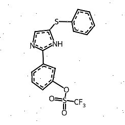 O=S(=O)(Oc1cccc(-c2ncc(Sc3ccccc3)[nH]2)c1)C(F)(F)F